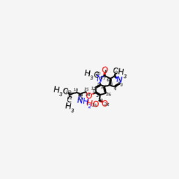 Cc1nccc2c1c(=O)n(C)c1cc(OC[C@@H](N)CC(C)C)c(C(=O)O)cc21